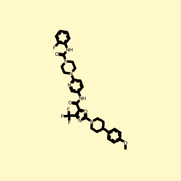 COc1ccc(C2CCN(c3nc(C(F)(F)F)c(C(=O)Nc4ccc(N5CCN(C(=O)Nc6ccccc6F)CC5)nc4)o3)CC2)cc1